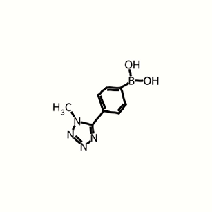 Cn1nnnc1-c1ccc(B(O)O)cc1